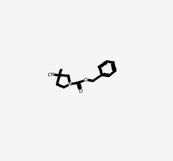 [C-]#[N+]C1(C)CCN(C(=O)OCc2ccccc2)C1